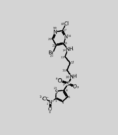 O=[N+]([O-])c1ccc(S(=O)(=O)NCCCNc2nc(Cl)ncc2Br)s1